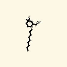 CCCCCCCCC[C@@H]1CCC(C)(C)C[C@H]1CO